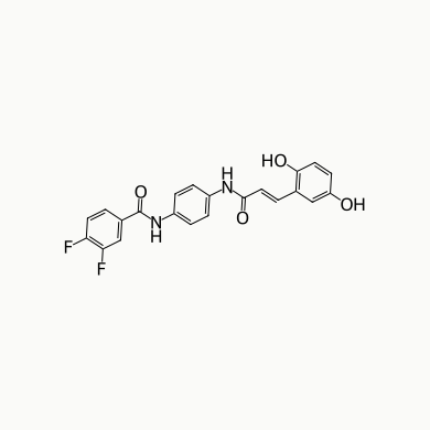 O=C(C=Cc1cc(O)ccc1O)Nc1ccc(NC(=O)c2ccc(F)c(F)c2)cc1